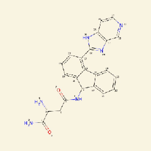 NC(=O)[C@H](N)CC(=O)NC1c2ccccc2-c2c(-c3nc4cnccc4[nH]3)cccc21